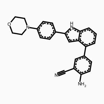 N#Cc1cc(-c2cccc3[nH]c(-c4ccc(N5CCOCC5)cc4)cc23)ccc1N